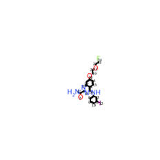 NC(=O)c1nc(Nc2cccc(I)c2)c2c[c]c(OCCOCCF)cc2n1